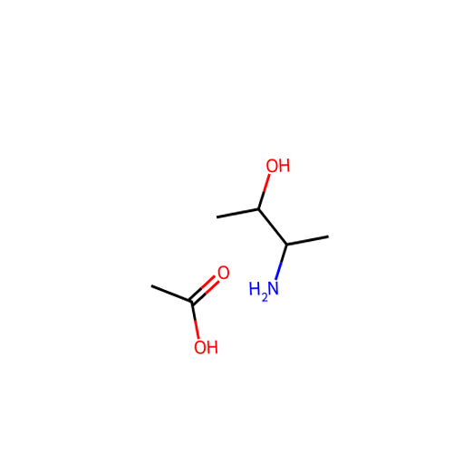 CC(=O)O.CC(N)C(C)O